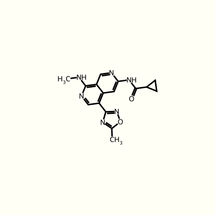 CNc1ncc(-c2noc(C)n2)c2cc(NC(=O)C3CC3)ncc12